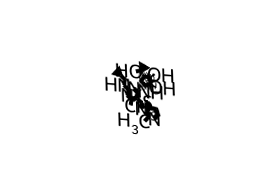 Cc1nc(NCC2CC2)nc(N[C@@H]2C[C@H](C3(O)CC3)[C@@H](O)[C@H]2O)c1-c1nc2c(C)nccc2s1